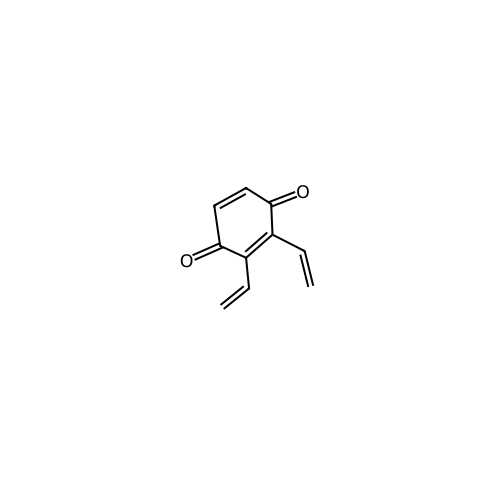 C=CC1=C(C=C)C(=O)C=CC1=O